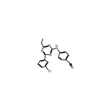 CCc1nc(Nc2ccc(C#N)cc2)nc(-c2cccc(Cl)c2)n1